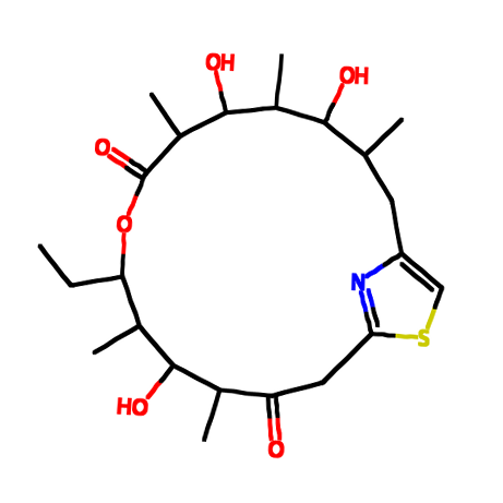 CCC1OC(=O)C(C)C(O)C(C)C(O)C(C)Cc2csc(n2)CC(=O)C(C)C(O)C1C